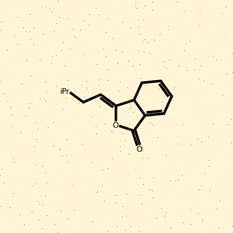 CC(C)CC=C1OC(=O)C2=CC=CCC12